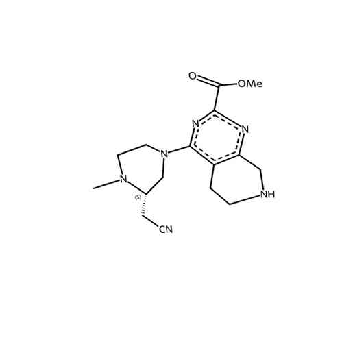 COC(=O)c1nc2c(c(N3CCN(C)[C@@H](CC#N)C3)n1)CCNC2